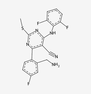 CSc1nc(Nc2c(F)cccc2F)c(C#N)c(-c2ccc(F)cc2CN)n1